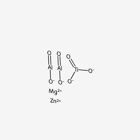 [Mg+2].[O]=[Al][O-].[O]=[Al][O-].[O]=[Ti]([O-])[O-].[Zn+2]